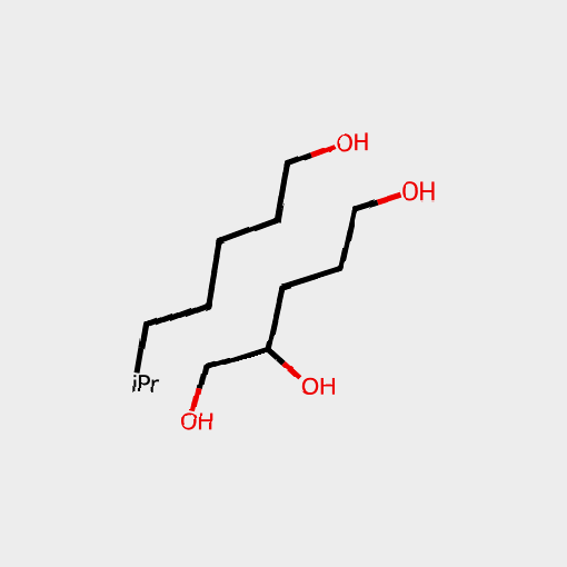 CC(C)CCCCCO.OCCCC(O)CO